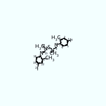 Cc1cc(I)ccc1N=CN(C)SN(C)C=Nc1ccc(I)cc1C